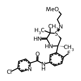 COCC/N=[S@]1/C[C@@](C)(c2cc(NC(=O)c3ccc(Cl)cn3)ccc2F)NC(=N)C1(C)C